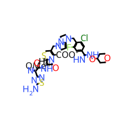 CO/N=C(\C(=O)N[C@@H]1C(=O)N2C(C(=O)[O-])=C(C[n+]3ccc4n3CCN4Cc3c(F)cc(C(=N)NOC4CCOCC4)cc3Cl)CS[C@H]12)c1nsc(N)n1